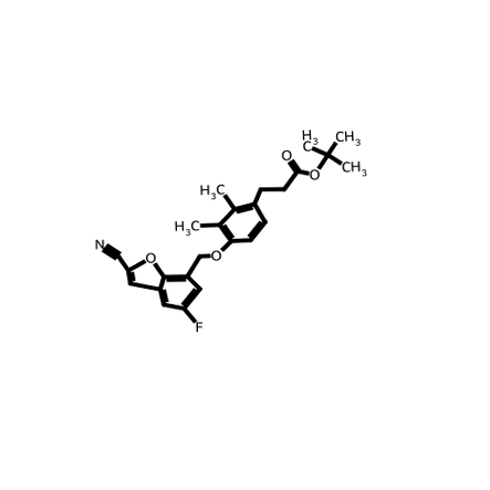 Cc1c(CCC(=O)OC(C)(C)C)ccc(OCc2cc(F)cc3cc(C#N)oc23)c1C